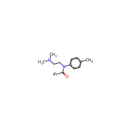 Cc1ccc(N(CCN(C)C)C(=O)C(C)C)cc1